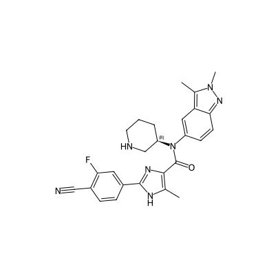 Cc1[nH]c(-c2ccc(C#N)c(F)c2)nc1C(=O)N(c1ccc2nn(C)c(C)c2c1)[C@@H]1CCCNC1